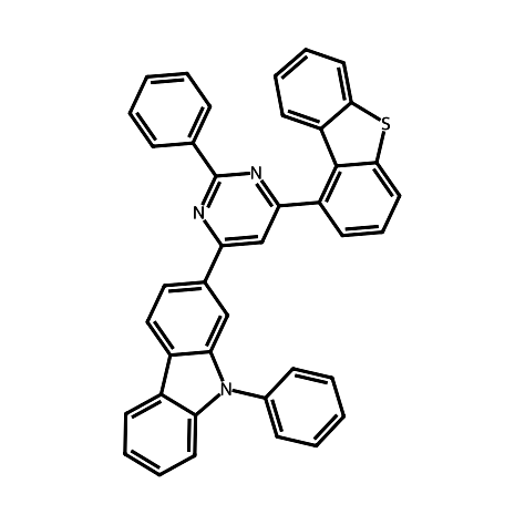 c1ccc(-c2nc(-c3ccc4c5ccccc5n(-c5ccccc5)c4c3)cc(-c3cccc4sc5ccccc5c34)n2)cc1